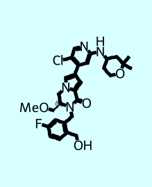 COC[C@H]1Cn2cc(-c3cc(NC4CCOC(C)(C)C4)ncc3Cl)cc2C(=O)N1Cc1cc(F)ccc1CO